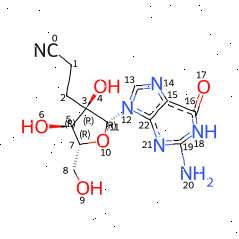 N#CCC[C@@]1(O)[C@H](O)[C@@H](CO)O[C@H]1n1cnc2c(=O)[nH]c(N)nc21